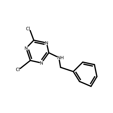 Clc1nc(Cl)nc(NCc2ccccc2)n1